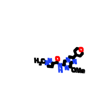 COc1nc(NC(=O)c2ccn(C)n2)cn2cc(C3CCOCC3)nc12